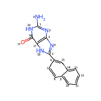 Nc1nc2nc(-c3ccc4ccccc4c3)[nH]c2c(=O)[nH]1